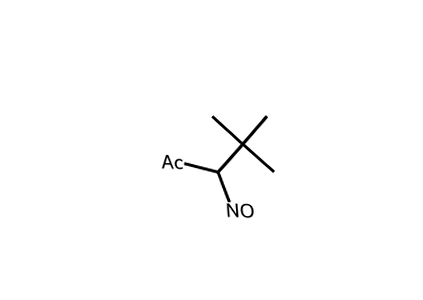 CC(=O)C(N=O)C(C)(C)C